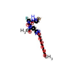 COCCOCCOCCOCCOCCOc1ncc(-c2ccc3c(c2)c(C(C)=O)nn3CC(=O)N2C[C@H](F)C[C@H]2C(=O)Nc2cccc(Br)n2)cn1